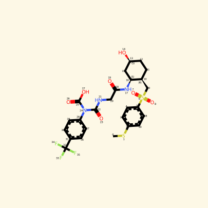 CSc1ccc(S(=O)(=O)C[C@@H]2CC[C@H](O)C[C@@H]2NC(=O)CNC(=O)N(C(=O)O)c2ccc(C(F)(F)F)cc2)cc1